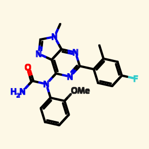 COc1ccccc1N(C(N)=O)c1nc(-c2ccc(F)cc2C)nc2c1ncn2C